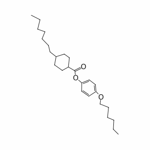 CCCCCCCC1CCC(C(=O)Oc2ccc(OCCCCCC)cc2)CC1